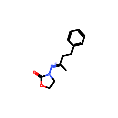 C/C(CCc1ccccc1)=N\N1CCOC1=O